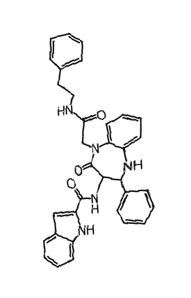 O=C(CN1C(=O)C(NC(=O)c2cc3ccccc3[nH]2)C(c2ccccc2)Nc2ccccc21)NCCc1ccccc1